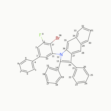 Fc1cc(-c2ccccc2)cc(-n2c(-c3ccccc3)c(-c3ccccc3)c3cc4ccccc4cc32)c1Br